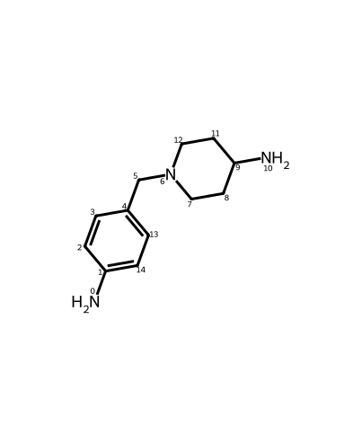 Nc1ccc(CN2CCC(N)CC2)cc1